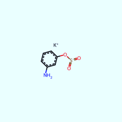 Nc1cccc(O[S-](=O)=O)c1.[K+]